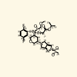 COCP(=O)(N[C@@H](C)C(=O)OC(C)C)N[C@H]1C[C@@H](N2Cc3cn(S(C)(=O)=O)nc3C2)CO[C@@H]1c1cc(F)ccc1F